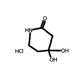 Cl.O=C1CC(O)(O)CCN1